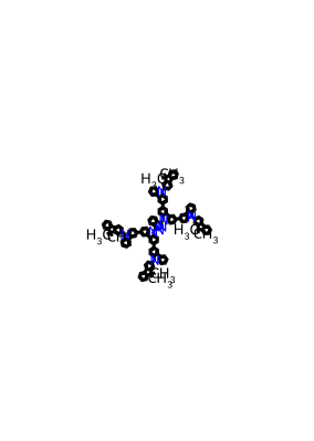 CC1(C)c2ccccc2-c2ccc(-n3c4ccccc4c4cc(-c5ccc6c(c5)c5cc(-c7ccc8c(c7)c7ccccc7n8-c7ccc8c(c7)C(C)(C)c7ccccc7-8)ccc5n6-c5nnc(-n6c7ccc(-c8ccc9c(c8)c8ccccc8n9-c8ccc9c(c8)C(C)(C)c8ccccc8-9)cc7c7cc(-c8ccc9c(c8)c8ccccc8n9-c8ccc9c(c8)C(C)(C)c8ccccc8-9)ccc76)c6ccccc56)ccc43)cc21